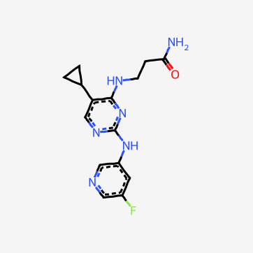 NC(=O)CCNc1nc(Nc2cncc(F)c2)ncc1C1CC1